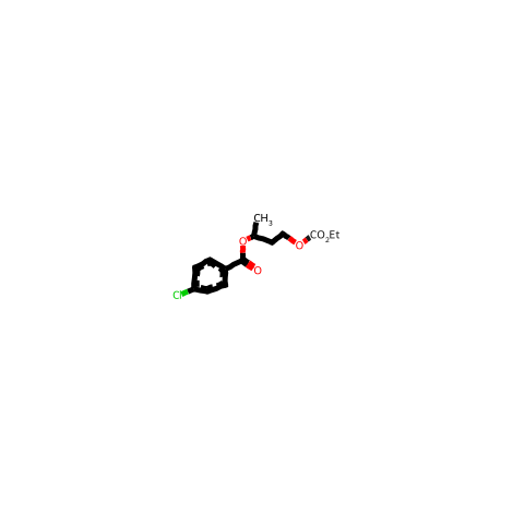 CCOC(=O)OCCC(C)OC(=O)c1ccc(Cl)cc1